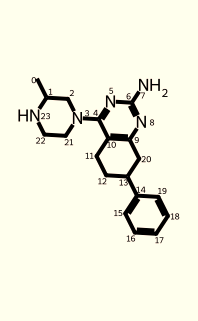 CC1CN(c2nc(N)nc3c2CCC(c2ccccc2)C3)CCN1